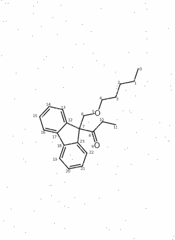 CCCCCOCC1(C(=O)CC)c2ccccc2-c2ccccc21